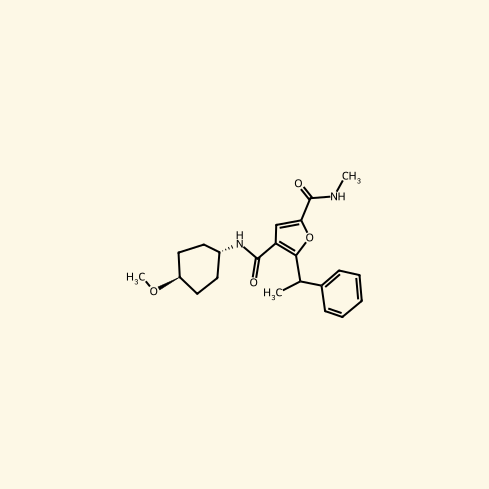 CNC(=O)c1cc(C(=O)N[C@H]2CC[C@H](OC)CC2)c(C(C)c2ccccc2)o1